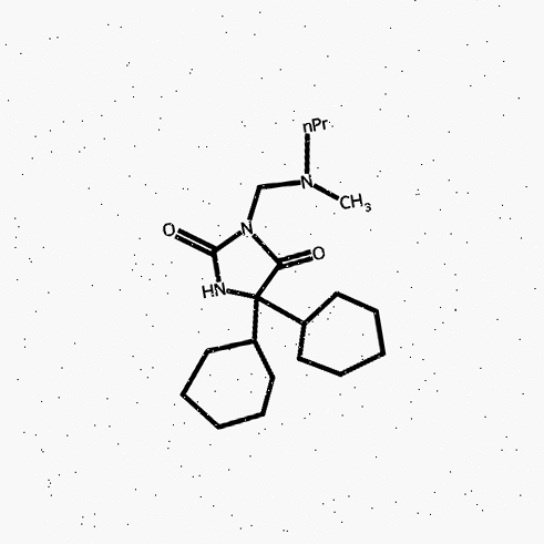 CCCN(C)CN1C(=O)NC(C2CCCCC2)(C2CCCCC2)C1=O